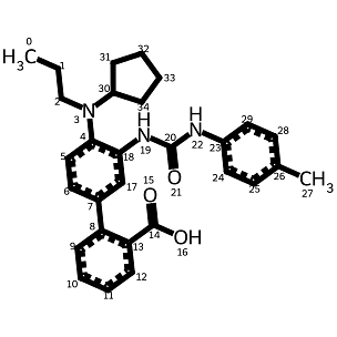 CCCN(c1ccc(-c2ccccc2C(=O)O)cc1NC(=O)Nc1ccc(C)cc1)C1CCCC1